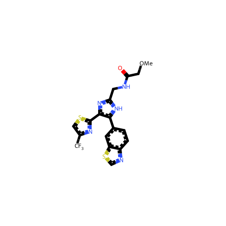 COCC(=O)NCc1nc(-c2nc(C(F)(F)F)cs2)c(-c2ccc3ncsc3c2)[nH]1